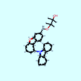 CC(C)(O)C(C)(C)OBc1ccc2c(c1)oc1cccc(-n3c4ccccc4c4ccccc43)c12